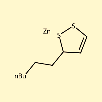 CCCCCCC1C=CSS1.[Zn]